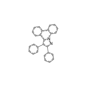 c1ccc(-c2nn3c4ccccc4c4ccccc4c3c2-c2ccccc2)cc1